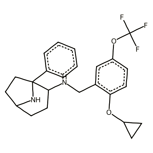 FC(F)(F)Oc1ccc(OC2CC2)c(CNC2CCC3CCC2(c2ccccc2)N3)c1